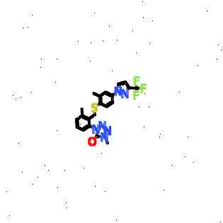 Cc1cc(-n2ccc(C(F)(F)F)n2)ccc1SCc1c(C)cccc1-n1nnn(C)c1=O